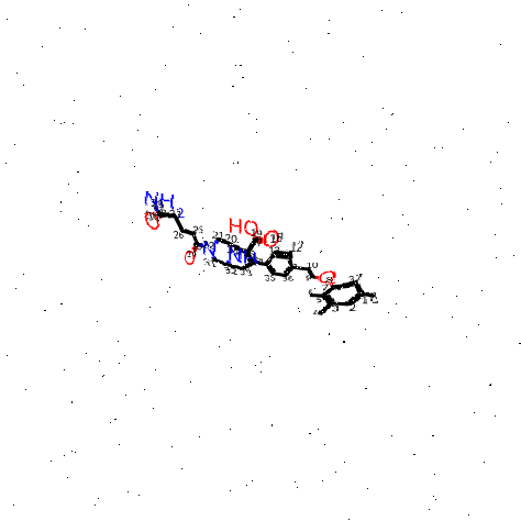 Cc1cc(C)c(C)c(OCCc2ccc(C3=C(C(=O)O)C4CN(C(=O)CCCC(N)=O)CC(C3)N4)cc2)c1